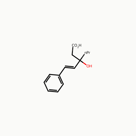 CCCC(O)(C=Cc1ccccc1)CC(=O)O